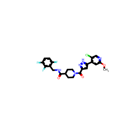 COc1cc(-c2cc(C(=O)N3CCC(C(=O)NCc4c(F)ccc(F)c4F)CC3)n[nH]2)c(Cl)cn1